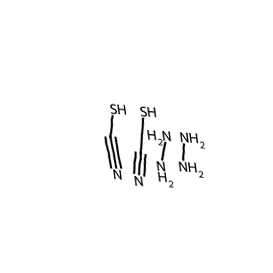 N#CS.N#CS.NN.NN